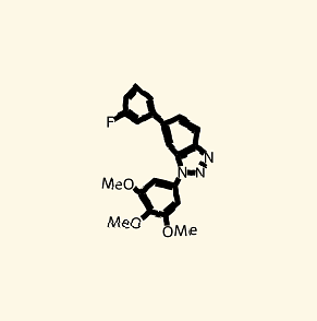 COc1cc(-n2nnc3ccc(-c4cccc(F)c4)cc32)cc(OC)c1OC